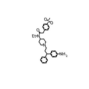 CCN(C(=O)Cc1ccc(S(C)(=O)=O)cc1)C1CCN(CCC(c2ccccc2)c2ccc(N)cc2)CC1